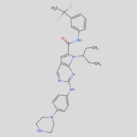 CCC(CC)n1c(C(=O)Nc2cccc(C(C)(F)F)c2)cc2cnc(Nc3ccc(N4CCNCC4)cc3)nc21